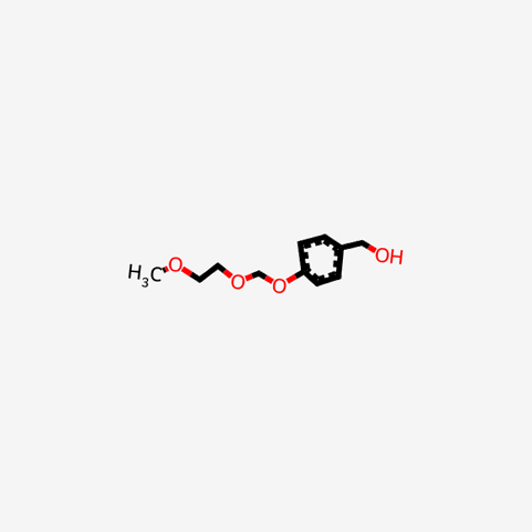 COCCOCOc1ccc(CO)cc1